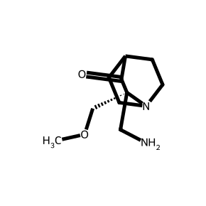 COC[C@]1(CN)C(=O)C2CCN1CC2